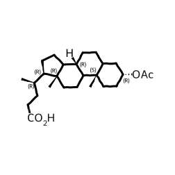 CC(=O)O[C@@H]1CC[C@@]2(C)C(CC[C@@H]3C2CC[C@@]2(C)C3CC[C@@H]2[C@H](C)CCC(=O)O)C1